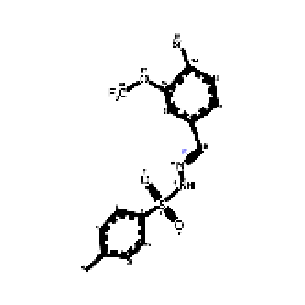 Cc1ccc(S(=O)(=O)N/N=C/c2ccc(Br)c(OC(F)(F)F)c2)cc1